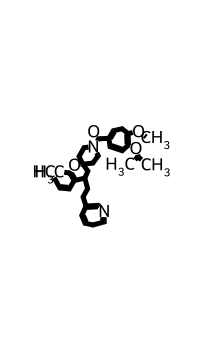 C#C/C=C\C1=C(C)OC2(CCN(C(=O)C3=CCC(OC)=C(OC(C)C)C=C3)CC2)CC1CCC1=CN=CCC=C1